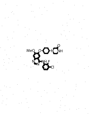 COc1cc2ncnc(Nc3cccc(Cl)c3F)c2cc1O[C@H]1CC[C@@H](N2CCNC(=O)C2)CC1